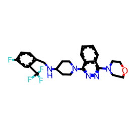 Fc1ccc(CNC2CCN(c3nnc(N4CCOCC4)c4ccccc34)CC2)c(C(F)(F)F)c1